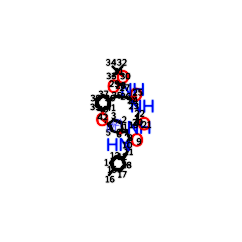 C=C/C=C\C1=C/CC(C(=O)NCc2ccc(C)cc2)NC(=O)CNC(=O)C(NC(=O)OC(C)(C)C)Cc2cccc(c2)O1